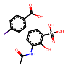 CC(=O)Nc1cccc([As](=O)(O)O)c1O.O=C(O)c1ccc(I)cc1